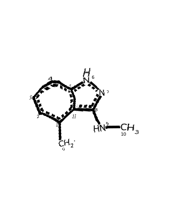 [CH2]c1cccc2[nH]nc(NC)c12